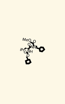 COCC(=O)[C@H](CCc1ccccc1)NC(=O)[C@H](CC(C)C)NC(=O)OCc1ccccc1